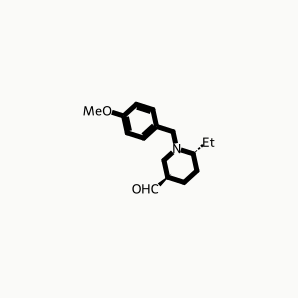 CC[C@@H]1CC[C@@H](C=O)CN1Cc1ccc(OC)cc1